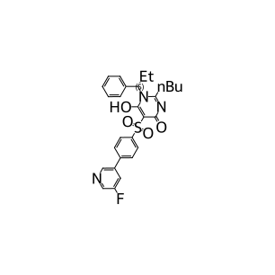 CCCCc1nc(=O)c(S(=O)(=O)c2ccc(-c3cncc(F)c3)cc2)c(O)n1[C@@H](CC)c1ccccc1